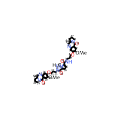 COc1cc2c(cc1OCCCNC(=O)c1ccc(C(=O)NCCCOc3cc4c(cc3OC)C(=O)N3CCC[C@H]3C=N4)n1C)N=C[C@@H]1CCCN1C2=O